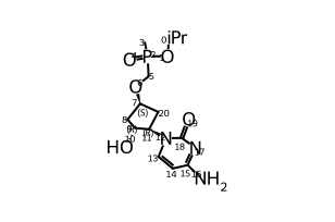 CC(C)OP(C)(=O)CO[C@@H]1C[C@@H](O)[C@H](n2ccc(N)nc2=O)C1